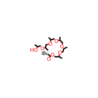 CCC(C)C(=O)OCC(C)OCC(C)OCC(C)OCC(C)OCC(C)OCC(C)O